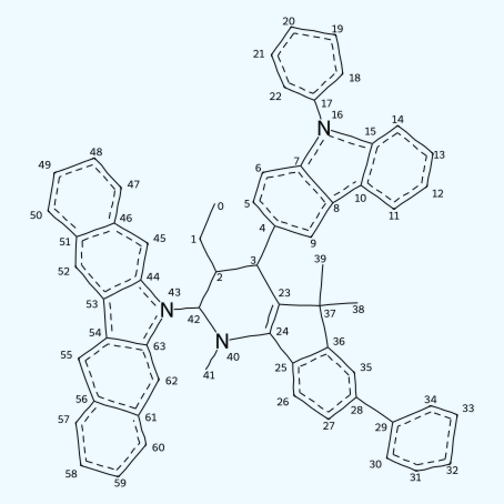 CCC1C(c2ccc3c(c2)c2ccccc2n3-c2ccccc2)C2=C(c3ccc(-c4ccccc4)cc3C2(C)C)N(C)C1n1c2cc3ccccc3cc2c2cc3ccccc3cc21